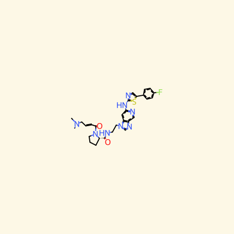 CN(C)C/C=C/C(=O)N1CCC[C@H]1C(=O)NCCn1cnc2cnc(Nc3ncc(-c4ccc(F)cc4)s3)cc21